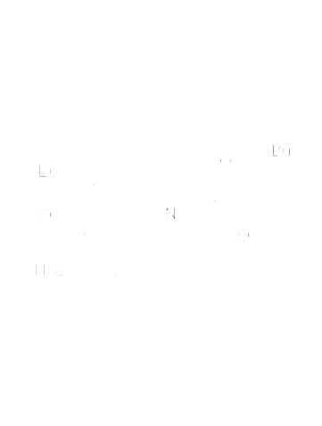 CCOC1(C)CCN(C(=O)OC(C)(C)C)CC1